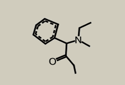 CCC(=O)C(c1ccccc1)N(C)CC